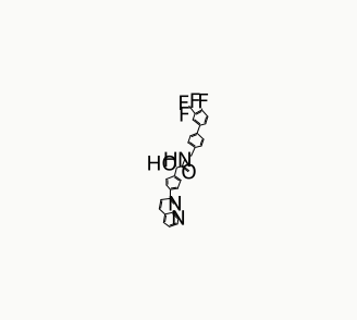 O=C(NCc1ccc(-c2ccc(F)c(C(F)(F)F)c2)cc1)C(O)c1ccc(-c2ccc3cccnc3n2)cc1